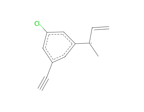 C#Cc1cc(Cl)cc([C](C)C=C)c1